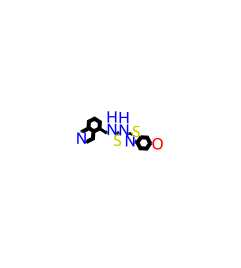 COc1ccc2nc(NC(=S)NCc3cccc4cnccc34)sc2c1